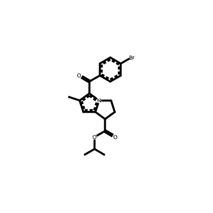 Cc1cc2n(c1C(=O)c1ccc(Br)cc1)CCC2C(=O)OC(C)C